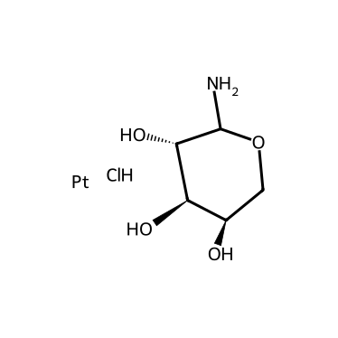 Cl.NC1OC[C@@H](O)[C@@H](O)[C@@H]1O.[Pt]